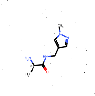 C[C@@H](N)C(=O)NCc1cnn(C)c1